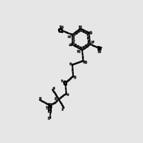 C[SiH](C)C(C)(C)COCCCc1cc(Cl)ccc1Br